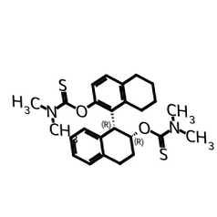 CN(C)C(=S)Oc1ccc2c(c1[C@H]1c3ccccc3CC[C@H]1OC(=S)N(C)C)CCCC2